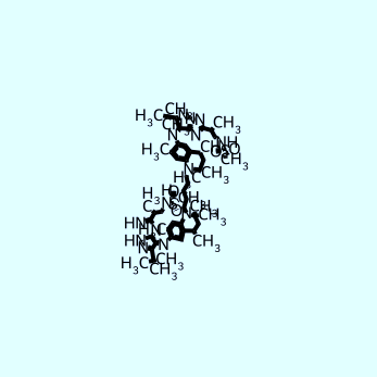 Cc1cc2c(cc1/N=C1/C(C(C)(C)C)=NN/C1=N\C(=N)C(C)CNS(C)(=O)=O)C(C)CC(C)(C)N2CCCCCN1c2cc(C)c(/N=C3/C(C(C)(C)C)=Nn4nc(C(C)CNS(C)(=O)=O)nc43)cc2C(C)CC1(C)C